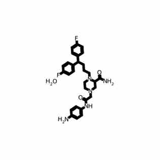 NC(=O)C1CN(CC(=O)Nc2ccc(N)cc2)CCN1CCCC(c1ccc(F)cc1)c1ccc(F)cc1.O